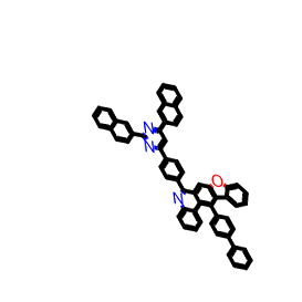 c1ccc(-c2ccc(-c3c4c(cc5c(-c6ccc(-c7cc(-c8ccc9ccccc9c8)nc(-c8ccc9ccccc9c8)n7)cc6)nc6ccccc6c35)oc3ccccc34)cc2)cc1